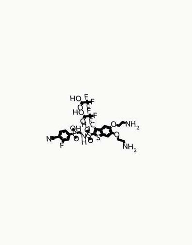 Cc1c(S(=O)(=O)NCP(=O)(O)c2ccc(C#N)c(F)c2)sc2cc(OCCN)c(OCCN)cc12.O=C(O)C(F)(F)F.O=C(O)C(F)(F)F